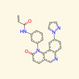 C=CC(=O)Nc1cccc(-n2c(=O)ccc3cnc4ccc(-n5cccn5)cc4c32)c1